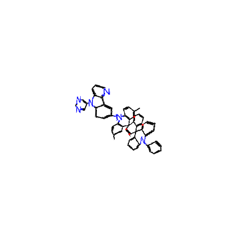 Cc1ccc2c(c1)C1(c3cc(C)ccc3N2C2=CCC3C(=C2)c2ncccc2N3c2cncnc2)c2ccccc2C2(c3ccccc3N(c3ccccc3)c3ccccc32)c2ccccc21